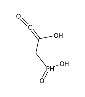 O=C=C(O)C[PH](=O)O